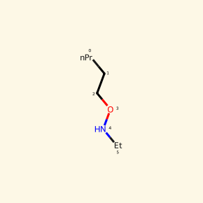 CCCCCONCC